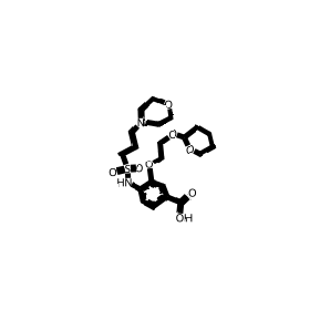 O=C(O)c1ccc(NS(=O)(=O)CCCN2CCOCC2)c(OCCOC2CCCCO2)c1